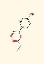 CCC(=O)OC([C]=O)c1ccc(O)cc1